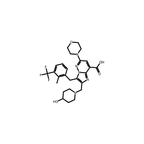 Cc1c(Cc2c(CN3CCC(O)CC3)nc3c(C(=O)O)cc(N4CCOCC4)nn23)cccc1C(F)(F)F